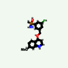 COc1ccc2c(OCc3cc(F)cc(S(C)(=N)=O)c3)ccnc2c1